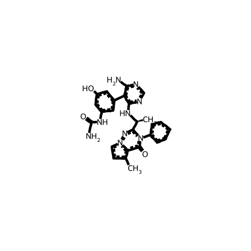 Cc1ccn2nc([C@H](C)Nc3ncnc(N)c3-c3cc(O)cc(NC(N)=O)c3)n(-c3ccccc3)c(=O)c12